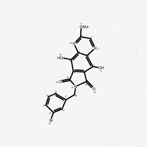 COc1cnc2c(O)c3c(c(O)c2n1)C(=O)N(Cc1cccc(Br)c1)C3=O